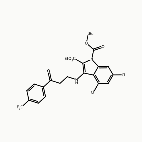 CCOC(=O)c1c(NCCC(=O)c2ccc(C(F)(F)F)cc2)c2c(Cl)cc(Cl)cc2n1C(=O)OC(C)(C)C